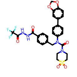 O=C(NNC(=O)C(F)(F)F)c1ccc(CN(C(=O)N2CCS(=O)(=O)CC2)c2ccc(-c3ccc4c(c3)OCO4)cc2)cc1